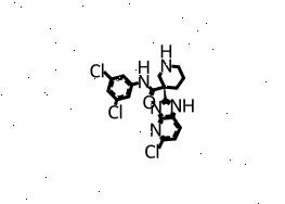 O=C(Nc1cc(Cl)cc(Cl)c1)[C@@]1(c2nc3nc(Cl)ccc3[nH]2)CCCNC1